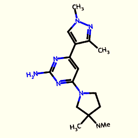 CNC1(C)CCN(c2cc(-c3cn(C)nc3C)nc(N)n2)C1